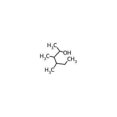 CCC(C)C(C)C(C)O